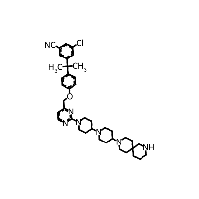 CC(C)(c1ccc(OCc2ccnc(N3CCC(N4CCC(N5CCC6(CCCNC6)CC5)CC4)CC3)n2)cc1)c1cc(Cl)cc(C#N)c1